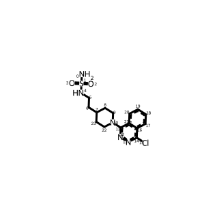 NS(=O)(=O)NCCC1CCN(c2nnc(Cl)c3ccccc23)CC1